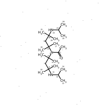 CC(=O)N(C(C)(C)CC(C)(C)NC(C)C)C(C)(C)CC(C)(C)NC(C)C